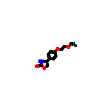 COCCOc1ccc(C2COC(=O)N2)cc1